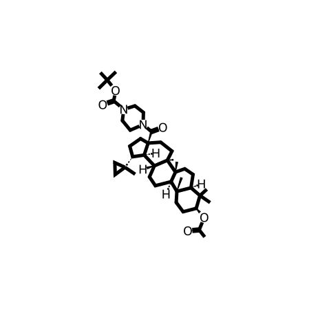 CC(=O)O[C@H]1CC[C@]2(C)[C@H]3CC[C@@H]4[C@H]5[C@H](C6(C)CC6)CC[C@]5(C(=O)N5CCN(C(=O)OC(C)(C)C)CC5)CC[C@@]4(C)[C@]3(C)CC[C@H]2C1(C)C